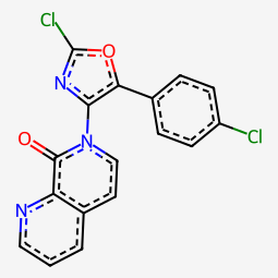 O=c1c2ncccc2ccn1-c1nc(Cl)oc1-c1ccc(Cl)cc1